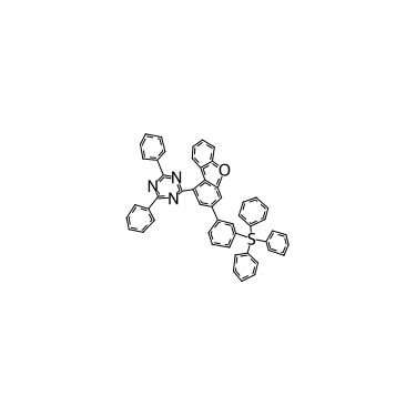 c1ccc(-c2nc(-c3ccccc3)nc(-c3cc(-c4cccc(S(c5ccccc5)(c5ccccc5)c5ccccc5)c4)cc4oc5ccccc5c34)n2)cc1